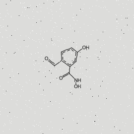 O=[C]c1ccc(O)cc1C(=O)NO